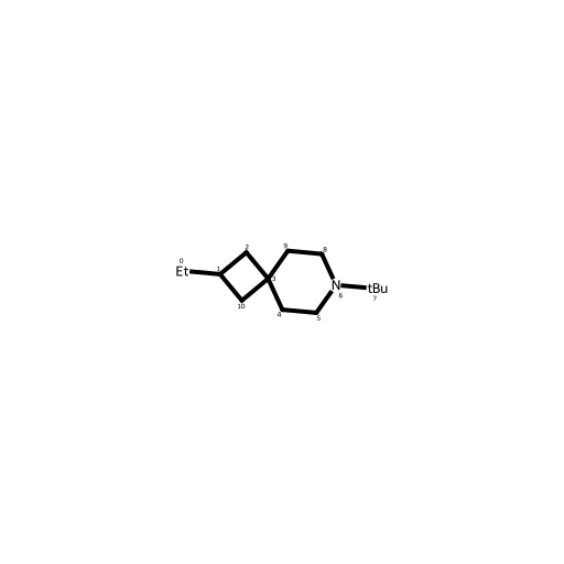 CCC1CC2(CCN(C(C)(C)C)CC2)C1